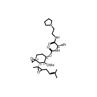 CO[C@H]1[C@H](C2(C)OC2CC=C(C)C)[C@]2(CC[C@H]1OC(=O)N[C@@H](C(=O)NCCN1CCCC1)C(C)C)CO2